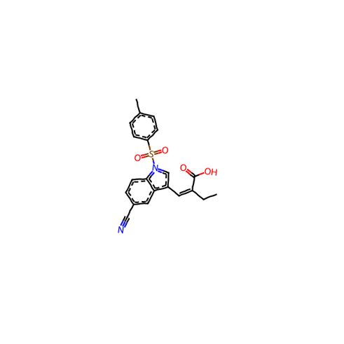 CCC(=Cc1cn(S(=O)(=O)c2ccc(C)cc2)c2ccc(C#N)cc12)C(=O)O